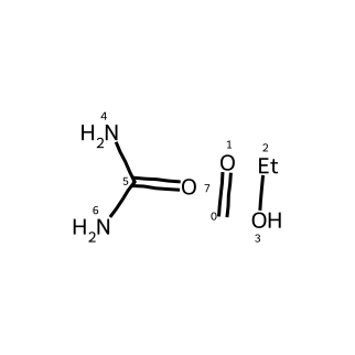 C=O.CCO.NC(N)=O